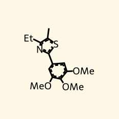 CCc1nc(-c2cc(OC)c(OC)c(OC)c2)sc1C